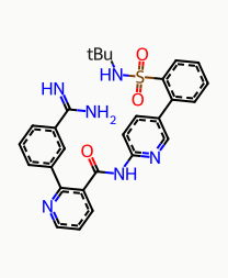 CC(C)(C)NS(=O)(=O)c1ccccc1-c1ccc(NC(=O)c2cccnc2-c2cccc(C(=N)N)c2)nc1